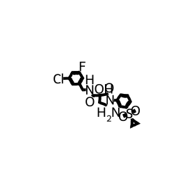 Nc1c(N2CCC(O)(C(=O)NCc3cc(F)cc(Cl)c3)C2=O)cccc1S(=O)(=O)C1CC1